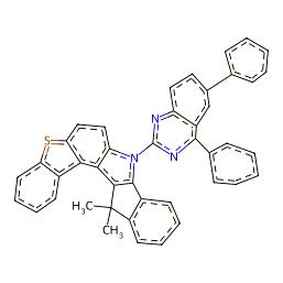 CC1(C)c2ccccc2-c2c1c1c3c(ccc1n2-c1nc(-c2ccccc2)c2cc(-c4ccccc4)ccc2n1)sc1ccccc13